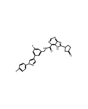 O=C1CCC(c2nc3ncnc(C(=O)NCc4cc(F)cc(-c5cnn(-c6ccc(F)cc6)c5)c4)c3[nH]2)C1